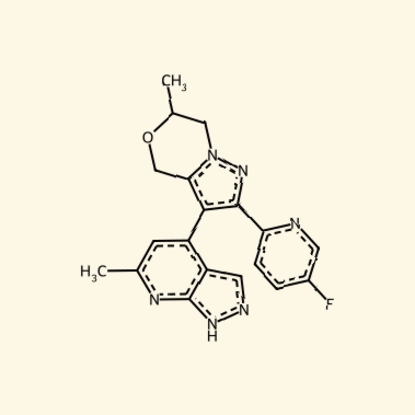 Cc1cc(-c2c(-c3ccc(F)cn3)nn3c2COC(C)C3)c2cn[nH]c2n1